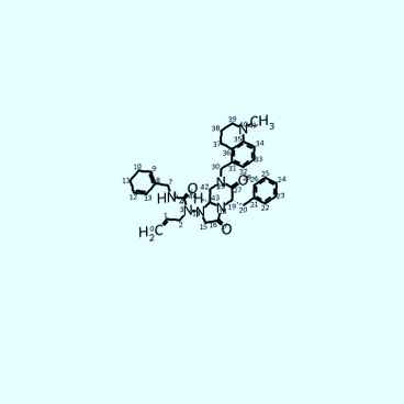 C=CCN(C(=O)NCC1=CCCC=C1)N1CC(=O)N2[C@@H](Cc3ccccc3)C(=O)N(Cc3cccc4c3CCCN4C)C[C@@H]21